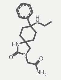 CCNC1(c2ccccc2)CCC2(CC1)CN(CC(N)=O)C(=O)N2